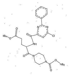 CCCCOC(=O)N1CCN(C(=O)C(CCC(=O)OC(C)(C)C)NC(=O)c2cc(Cl)nc(-c3ccccc3)n2)CC1